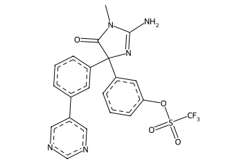 CN1C(=O)C(c2cccc(OS(=O)(=O)C(F)(F)F)c2)(c2cccc(-c3cncnc3)c2)N=C1N